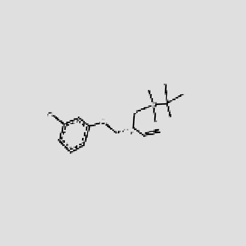 C=C[C@H](COc1cccc(Cl)c1)O[Si](C)(C)C(C)(C)C